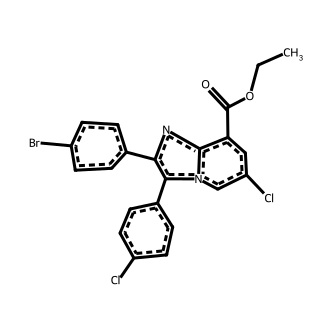 CCOC(=O)c1cc(Cl)cn2c(-c3ccc(Cl)cc3)c(-c3ccc(Br)cc3)nc12